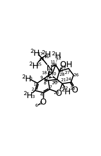 [2H]c1c([2H])c(OC)c2c3c1C[C@@]1([2H])N(C([2H])([2H])[2H])CC[C@@]34C([2H])(O2)C(=O)CC[C@@]14O